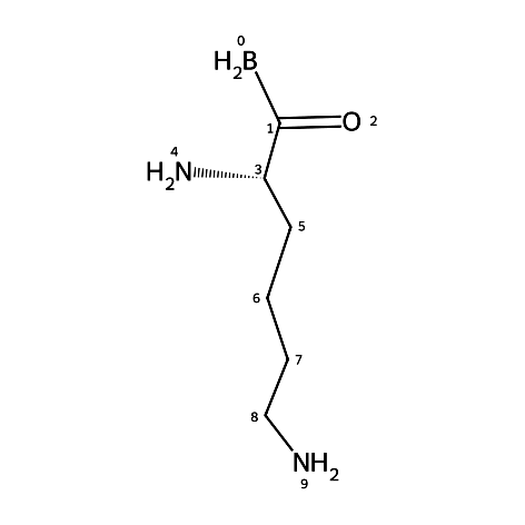 BC(=O)[C@@H](N)CCCCN